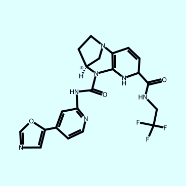 O=C(NCC(F)(F)F)C1C=CC2=C(N1)N(C(=O)Nc1cc(-c3cnco3)ccn1)[C@H]1CCN2C1